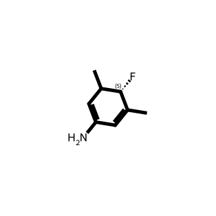 CC1=CC(N)=CC(C)[C@@H]1F